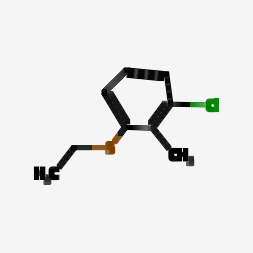 CCSc1cccc(Cl)c1C